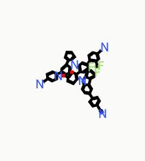 N#Cc1ccc(-c2ccc3c(c2)c2ccccc2n3-c2ccc(C#N)cc2-c2ccc(-c3ccc(C#N)cc3C(F)(F)F)cc2-n2c3ccccc3c3cc(-c4ccc(C#N)cc4)ccc32)cc1